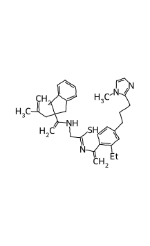 C=C(C)CC1(C(=C)NC/C(S)=N/C(=C)c2ccc(CCCc3nccn3C)cc2CC)Cc2ccccc2C1